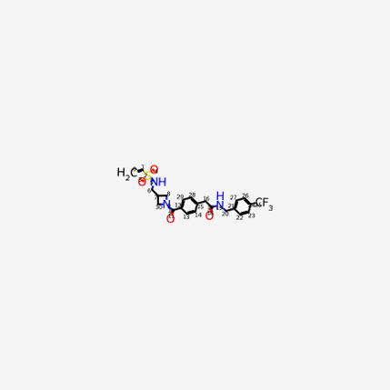 C=CS(=O)(=O)NCC1CN(C(=O)c2ccc(CC(=O)NCc3ccc(C(F)(F)F)cc3)cc2)C1